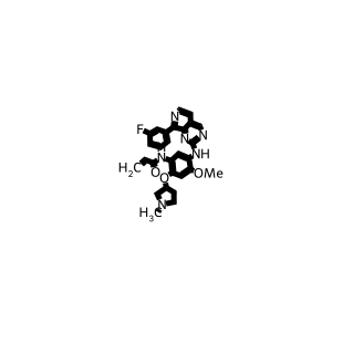 C=CC(=O)Nc1cc(Nc2ncc3ccnc(-c4cccc(F)c4)c3n2)c(OC)cc1OC1CCN(C)C1